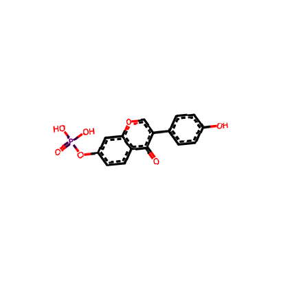 O=c1c(-c2ccc(O)cc2)coc2cc(OP(=O)(O)O)ccc12